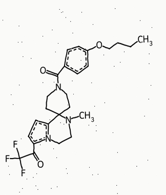 CCCCOc1ccc(C(=O)N2CCC3(CC2)c2ccc(C(=O)C(F)(F)F)n2CCN3C)cc1